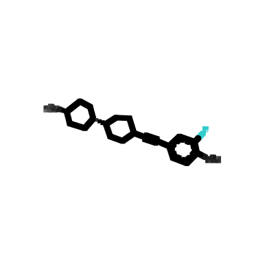 CCCCc1ccc(C#CC2CCC([C@H]3CC[C@H](CCCC)CC3)CC2)cc1F